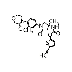 C#Cc1ccc(OC(=O)NC2(C)CC(=O)N(c3ccc(N4CCOCC4=O)c(C)c3)C2)s1